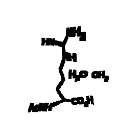 CC(=O)N[C@@H](CCCNC(=N)N)C(=O)O.O.O